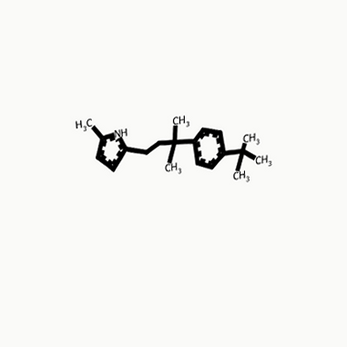 Cc1ccc(CCC(C)(C)c2ccc(C(C)(C)C)cc2)[nH]1